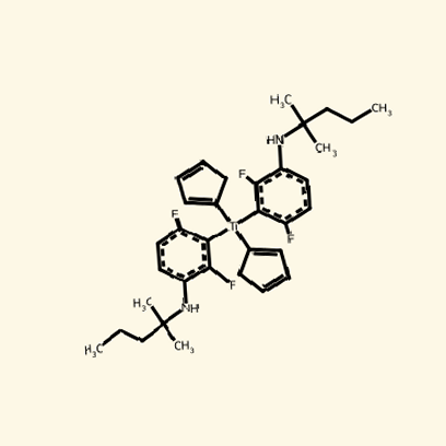 CCCC(C)(C)Nc1ccc(F)[c]([Ti]([C]2=CC=CC2)([C]2=CC=CC2)[c]2c(F)ccc(NC(C)(C)CCC)c2F)c1F